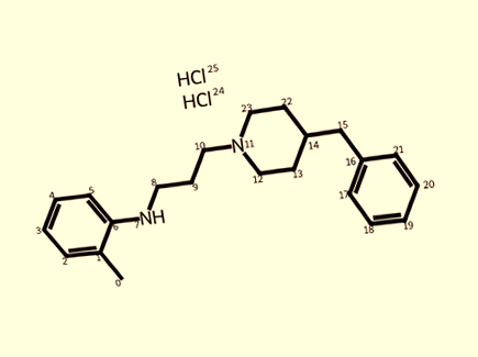 Cc1ccccc1NCCCN1CCC(Cc2ccccc2)CC1.Cl.Cl